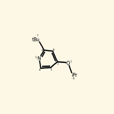 CC(C)Oc1ccnc(C(C)(C)C)c1